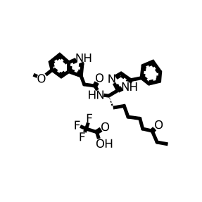 CCC(=O)CCCCC[C@H](NC(=O)Cc1c[nH]c2ccc(OC)cc12)c1ncc(-c2ccccc2)[nH]1.O=C(O)C(F)(F)F